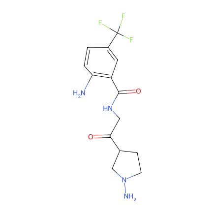 Nc1ccc(C(F)(F)F)cc1C(=O)NCC(=O)C1CCN(N)C1